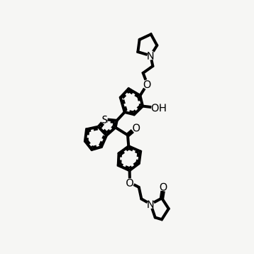 O=C(c1ccc(OCCN2CCCC2=O)cc1)c1c(-c2ccc(OCCN3CCCC3)c(O)c2)sc2ccccc12